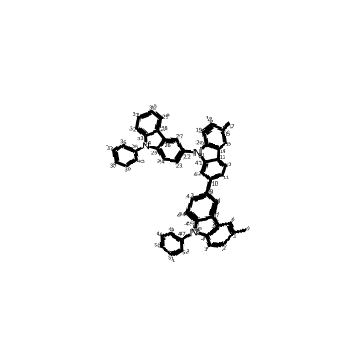 Cc1ccc2c(c1)c1cc(-c3ccc4c5cc(C)ccc5n(-c5ccc6c(c5)c5ccccc5n6-c5ccccc5)c4c3)ccc1n2-c1ccccc1